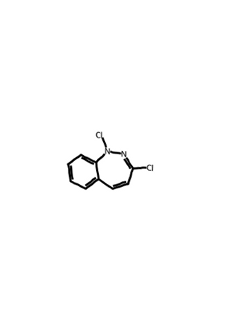 ClC1=NN(Cl)c2ccccc2C=C1